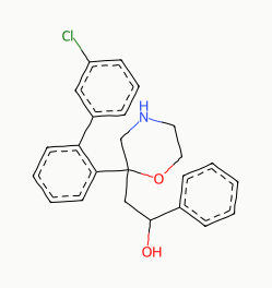 OC(CC1(c2ccccc2-c2cccc(Cl)c2)CNCCO1)c1ccccc1